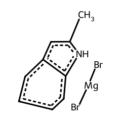 Cc1cc2ccccc2[nH]1.[Br][Mg][Br]